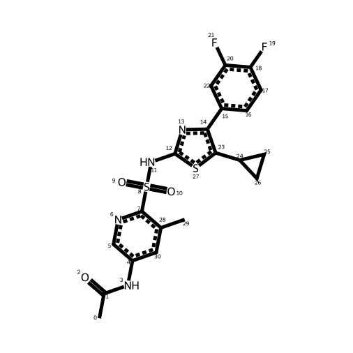 CC(=O)Nc1cnc(S(=O)(=O)Nc2nc(-c3ccc(F)c(F)c3)c(C3CC3)s2)c(C)c1